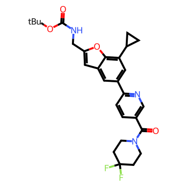 CC(C)(C)OC(=O)NCc1cc2cc(-c3ccc(C(=O)N4CCC(F)(F)CC4)cn3)cc(C3CC3)c2o1